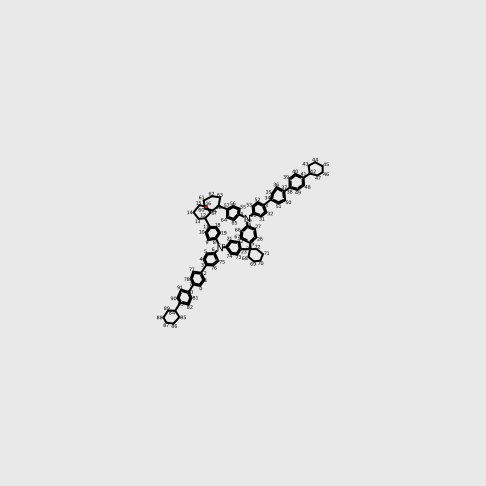 c1cc(-c2ccc(N(c3ccc(C4CCCCC4)cc3)c3ccc(C4(c5ccc(N(c6ccc(-c7ccc(-c8ccc(C9CCCCC9)cc8)cc7)cc6)c6ccc(C7CCCCC7)cc6)cc5)CCCCC4)cc3)cc2)ccc1-c1ccc(C2CCCCC2)cc1